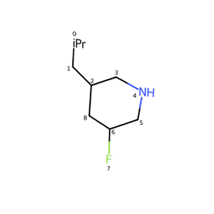 CC(C)CC1CNCC(F)C1